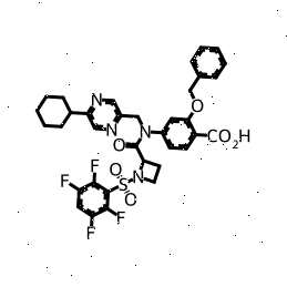 O=C(O)c1ccc(N(Cc2cnc(C3CCCCC3)cn2)C(=O)C2CCN2S(=O)(=O)c2c(F)c(F)cc(F)c2F)cc1OCc1ccccc1